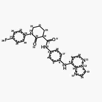 O=C(Nc1ccc(Nc2ccnn3ccnc23)cc1)C1CCCN(c2ccc(F)cc2)C1=O